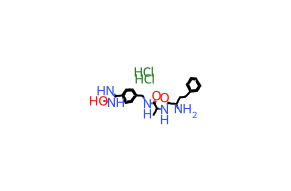 CC(NC(=O)C(N)CCc1ccccc1)C(=O)NCc1ccc(C(=N)NO)cc1.Cl.Cl